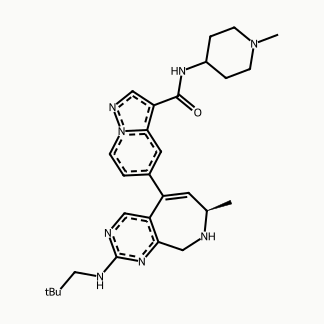 C[C@@H]1C=C(c2ccn3ncc(C(=O)NC4CCN(C)CC4)c3c2)c2cnc(NCC(C)(C)C)nc2CN1